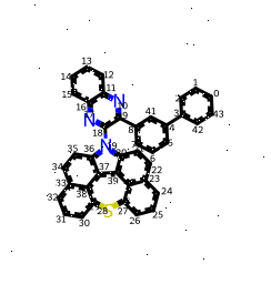 c1ccc(-c2cccc(-c3nc4ccccc4nc3-n3c4ccc5cccc6sc7cccc8ccc3c(c87)c4c56)c2)cc1